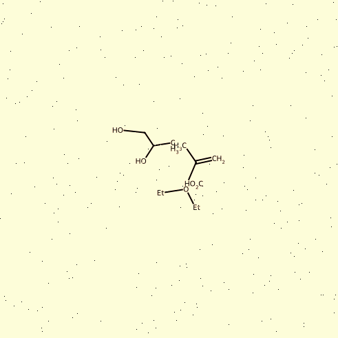 C=C(C)C(=O)O.CC(O)CO.CCOCC